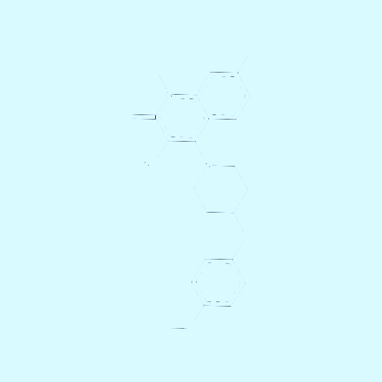 Cn1c(=O)c(C#N)c(N2CCC(Oc3ccc(OC(F)(F)F)cc3)CC2)c2ccc(Cl)cc21